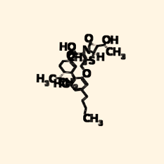 C=C(C)[C@@H]1CCC(C)=C[C@H]1c1c(O)cc(CCCCC)cc1OCC1=C(C(=O)O)N2C(=O)[C@H]([C@@H](C)O)[C@H]2S1